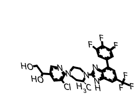 C[C@@H]1CN(c2ncc(C(O)CO)cc2Cl)CCN1c1nc2c(-c3cc(F)c(F)c(F)c3)cc(C(F)(F)F)cc2[nH]1